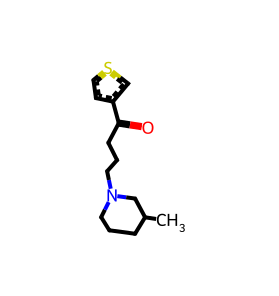 CC1CCCN(CCCC(=O)c2ccsc2)C1